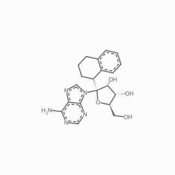 Nc1ncnc2c1ncn2[C@]1(C2CCCc3ccccc32)O[C@H](CO)[C@@H](O)[C@H]1O